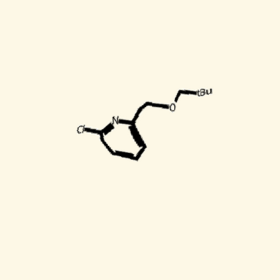 CC(C)(C)COCc1cccc(Cl)n1